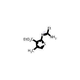 CCOC(=O)c1c(C)csc1/N=C(\N)CC